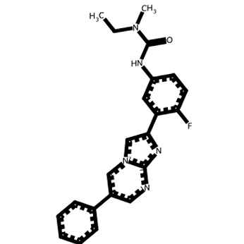 CCN(C)C(=O)Nc1ccc(F)c(-c2cn3cc(-c4ccccc4)cnc3n2)c1